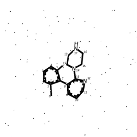 Cc1cccc(C)c1-c1cccnc1N1CCNCC1